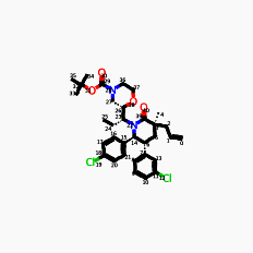 C=CC[C@@]1(C)C[C@H](c2cccc(Cl)c2)[C@@H](c2ccc(Cl)cc2)N([C@H](CC)[C@@H]2CN(C(=O)OC(C)(C)C)CCO2)C1=O